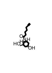 C#CCCCCC(=O)N1[C@@H]2[C@H](CO)C[C@H](O)C[C@@H]21